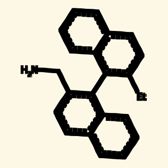 CCc1ccc2ccccc2c1-c1c(CN)ccc2ccccc12